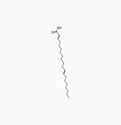 CCCCCCCC=CCCCCCCCCC=CC(=O)O